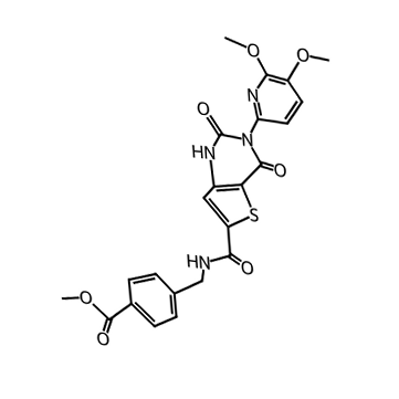 COC(=O)c1ccc(CNC(=O)c2cc3[nH]c(=O)n(-c4ccc(OC)c(OC)n4)c(=O)c3s2)cc1